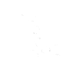 CC/C(Nc1ccc(N(CCN(C)C)C(C)=O)cc1)=C1\C(=O)Nc2cc(OC)c(OC)cc21